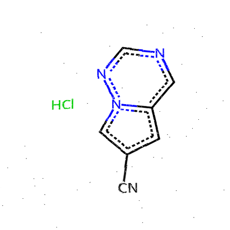 Cl.N#Cc1cc2cncnn2c1